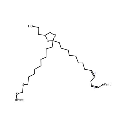 CCCCC/C=C\C/C=C\CCCCCCCCC1(CCCCCCCCCSCSCCCCC)OCC(CCO)O1